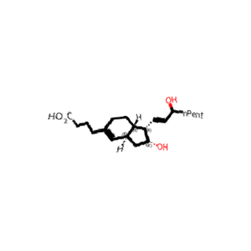 CCCCCC(O)C=C[C@H]1[C@H]2CCC(CCCC(=O)O)=C[C@@H]2C[C@H]1O